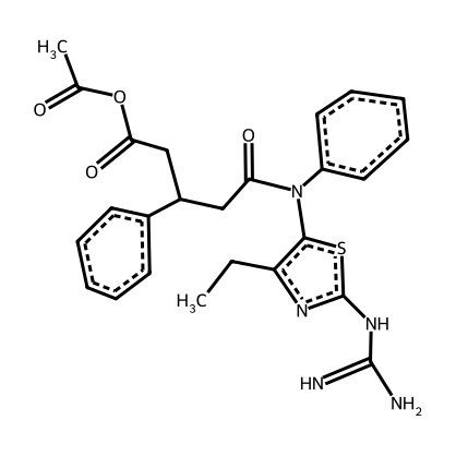 CCc1nc(NC(=N)N)sc1N(C(=O)CC(CC(=O)OC(C)=O)c1ccccc1)c1ccccc1